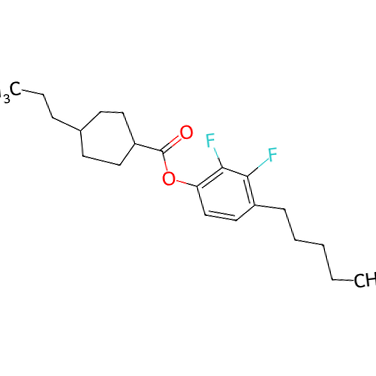 CCCCCc1ccc(OC(=O)C2CCC(CCC)CC2)c(F)c1F